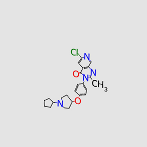 Cc1nc2cnc(Cl)cc2c(=O)n1-c1ccc(OC2CCN(C3CCCC3)CC2)cc1